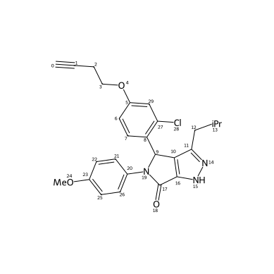 C#CCCOc1ccc(C2c3c(CC(C)C)n[nH]c3C(=O)N2c2ccc(OC)cc2)c(Cl)c1